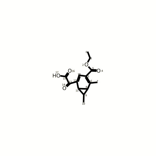 CCOC(=O)C1=C(C)C2C(C)C2C(C(=O)C(=O)O)=C1